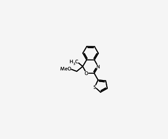 COCC1(C)OC(c2cccs2)=Nc2ccccc21